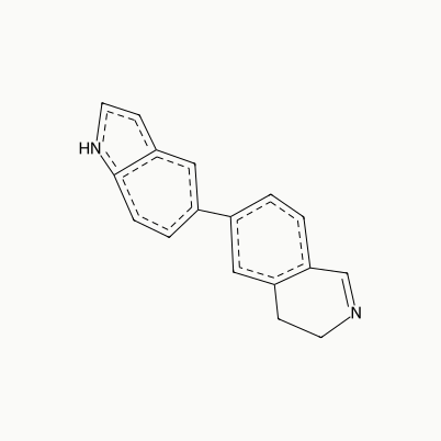 C1=NCCc2cc(-c3ccc4[nH]ccc4c3)ccc21